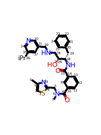 Cc1csc(CN(C)C(=O)c2cccc(C(=O)N[C@@H](Cc3ccccc3)[C@H](O)CNCc3cncc(C(C)C)c3)c2)n1